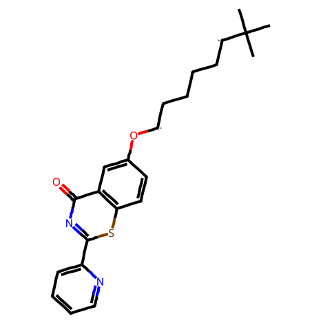 CC(C)(C)[CH]CCCC[CH]Oc1ccc2sc(-c3ccccn3)nc(=O)c2c1